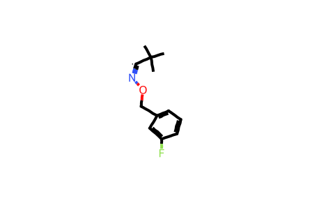 CC(C)(C)/[C]=N\OCc1cccc(F)c1